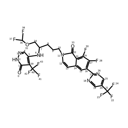 O=c1[nH]ncc(NC(CCCn2ccc3cc(-c4ncc(C(F)(F)F)cn4)c(F)c(F)c3c2=O)COC(F)F)c1C(F)(F)F